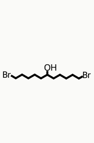 OC(CCCCCBr)CCCCCBr